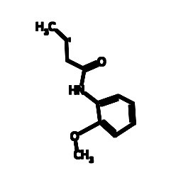 C[C]CC(=O)Nc1ccccc1OC